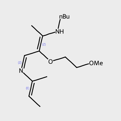 C/C=C(C)/N=C\C(OCCOC)=C(/C)NCCCC